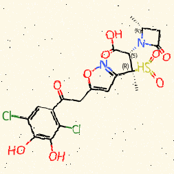 C[C@@H]1CC(=O)N1[C@@H](C(=O)O)[C@](C)(c1cc(CC(=O)c2cc(Cl)c(O)c(O)c2Cl)on1)[SH](=O)=O